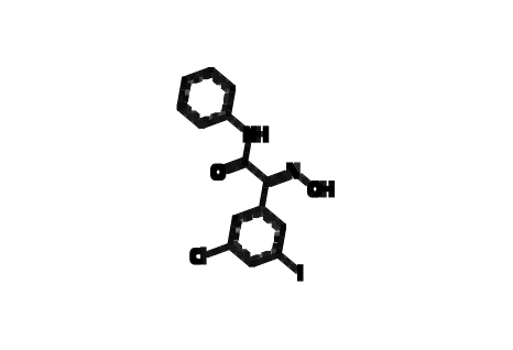 O=C(Nc1ccccc1)C(=NO)c1cc(Cl)cc(I)c1